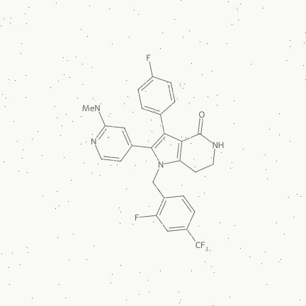 CNc1cc(-c2c(-c3ccc(F)cc3)c3c(n2Cc2ccc(C(F)(F)F)cc2F)CCNC3=O)ccn1